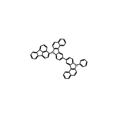 c1ccc(-n2c3ccc(-c4ccc5c(c4)c4c6ccccc6ccc4n5-c4ccc5c6c(cccc46)-c4ccccc4-5)cc3c3c4ccccc4ccc32)cc1